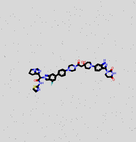 O=C1CCN(c2n[nH]c3cc(N4CCC(O)(CC(=O)N5CCN(c6ccc(-c7cc(F)c8cn(C(C(=O)Nc9nccs9)c9ncn%10c9CCC%10)nc8c7)cc6)CC5)CC4)ccc23)C(=O)N1